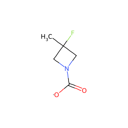 CC1(F)CN(C([O])=O)C1